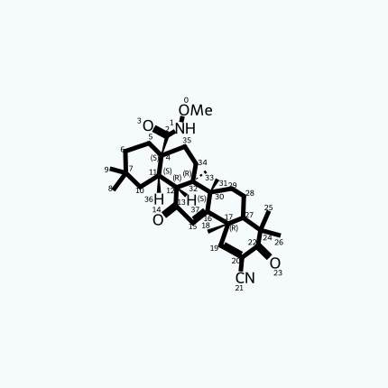 CONC(=O)[C@]12CCC(C)(C)C[C@H]1[C@H]1C(=O)C=C3[C@@]4(C)C=C(C#N)C(=O)C(C)(C)C4CC[C@@]3(C)[C@]1(C)CC2